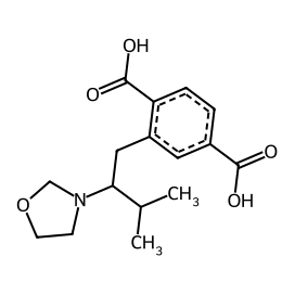 CC(C)C(Cc1cc(C(=O)O)ccc1C(=O)O)N1CCOC1